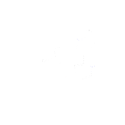 Cc1cc(=O)cc(-c2ccc(C(F)(F)F)nc2C2CCC(C(F)(F)F)CC2)[nH]1